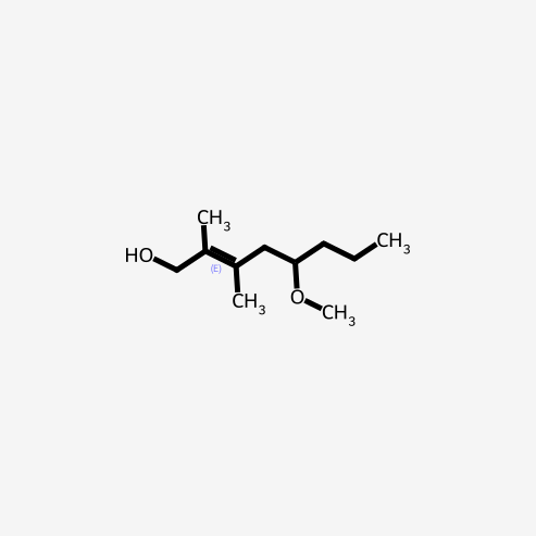 CCCC(C/C(C)=C(\C)CO)OC